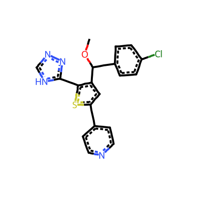 COC(c1ccc(Cl)cc1)c1cc(-c2ccncc2)sc1-c1nnc[nH]1